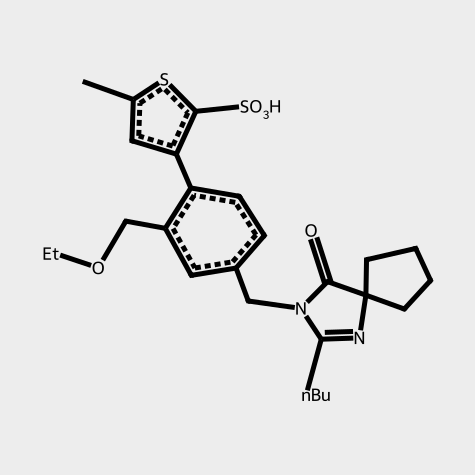 CCCCC1=NC2(CCCC2)C(=O)N1Cc1ccc(-c2cc(C)sc2S(=O)(=O)O)c(COCC)c1